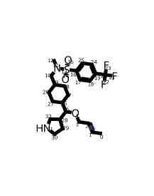 C/C=C/COC(C1CCC(CN(C)S(=O)(=O)c2ccc(C(F)(F)F)cc2)CC1)C1CCNC1